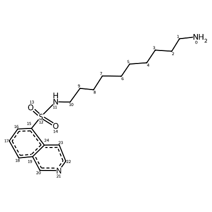 NCCCCCCCCCCNS(=O)(=O)c1cccc2cnccc12